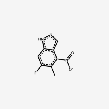 Cc1c(F)cc2[nH]ncc2c1[N+](=O)[O-]